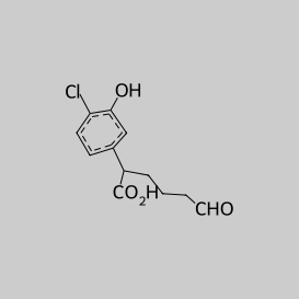 O=CCCCC(C(=O)O)c1ccc(Cl)c(O)c1